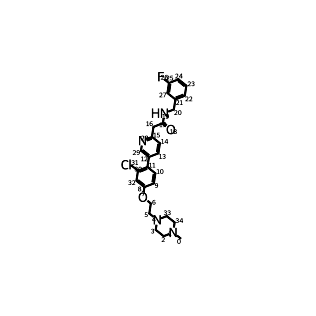 CN1CCN(CCOc2ccc(-c3ccc(CC(=O)NCc4cccc(F)c4)nc3)c(Cl)c2)CC1